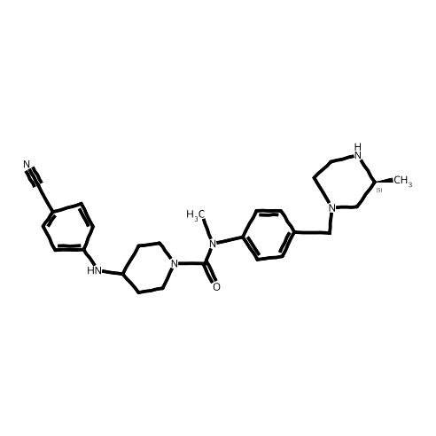 C[C@H]1CN(Cc2ccc(N(C)C(=O)N3CCC(Nc4ccc(C#N)cc4)CC3)cc2)CCN1